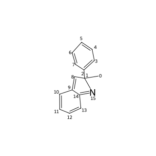 CC1(c2ccccc2)C=c2ccccc2=N1